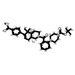 COC(=O)c1ccc(C2=CC[C@]3(C)CN(C(=O)c4ccccc4N4CCN(C(=O)OC(C)(C)C)CC4)CC=C3C2(C)C)cc1